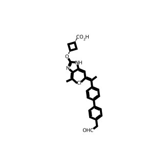 CC(C)=c1nc(O[C@H]2C[C@@H](C(=O)O)C2)[nH]/c1=C/C(Cl)=C(\C)c1ccc(-c2ccc(CC=O)cc2)cc1